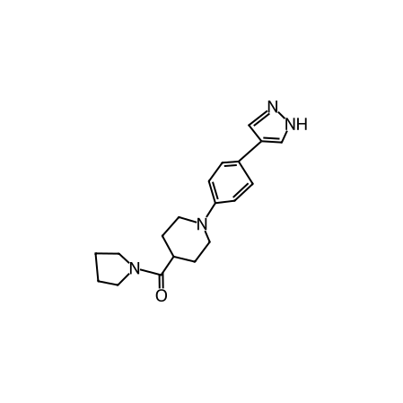 O=C(C1CCN(c2ccc(-c3cn[nH]c3)cc2)CC1)N1CCCC1